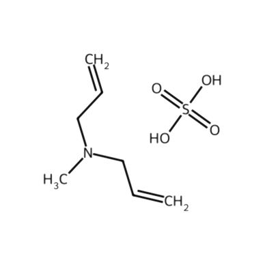 C=CCN(C)CC=C.O=S(=O)(O)O